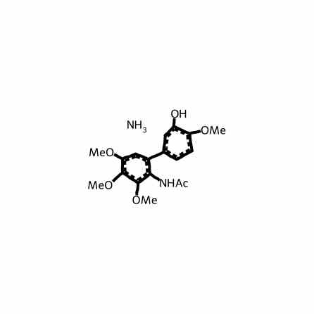 COc1ccc(-c2cc(OC)c(OC)c(OC)c2NC(C)=O)cc1O.N